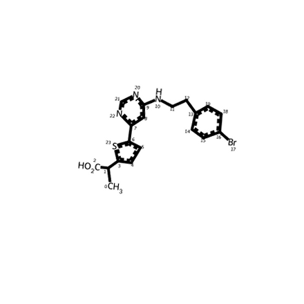 CC(C(=O)O)c1ccc(-c2cc(NCCc3ccc(Br)cc3)ncn2)s1